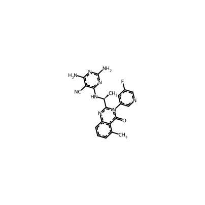 Cc1cccc2nc([C@H](C)Nc3nc(N)nc(N)c3C#N)n(-c3cncc(F)c3)c(=O)c12